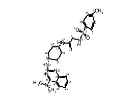 Cc1ccc(S(=O)(=O)NCC(=O)N[C@H]2CC[C@@H](Nc3nc(N(C)C)c4ccccc4n3)CC2)cc1